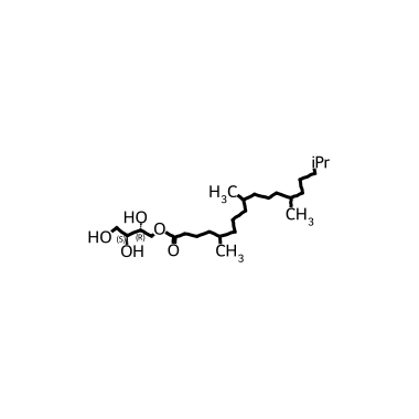 CC(C)CCCC(C)CCCC(C)CCCC(C)CCCC(=O)OC[C@@H](O)[C@@H](O)CO